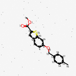 COC(=O)c1cc2ccc(OCc3ccc(C)cc3)cc2s1